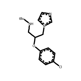 CC(C)(C)NCC(Cn1ccnc1)Oc1ccc(Cl)cc1